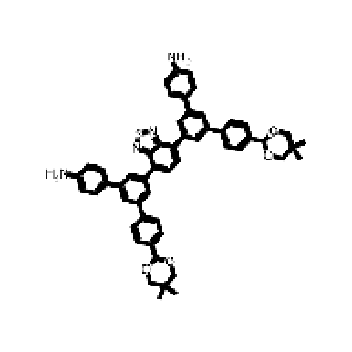 CC1(C)COC(c2ccc(-c3cc(-c4ccc(N)cc4)cc(-c4ccc(-c5cc(-c6ccc(N)cc6)cc(-c6ccc(C7OCC(C)(C)CO7)cc6)c5)c5nsnc45)c3)cc2)OC1